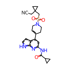 N#CCC1(CS(=O)(=O)N2CC=C(c3cc(NC(=O)C4CC4)nc4[nH]ccc34)CC2)CC1